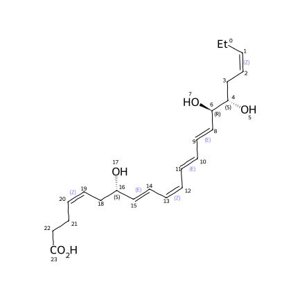 CC/C=C\C[C@H](O)[C@H](O)/C=C/C=C/C=C\C=C\[C@@H](O)C/C=C\CCC(=O)O